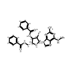 CC(C)Nc1nc(C(F)(F)F)nc2c1ncn2[C@@H]1O[C@H](COC(=O)c2ccccc2)C(OC(=O)c2ccccc2)C1F